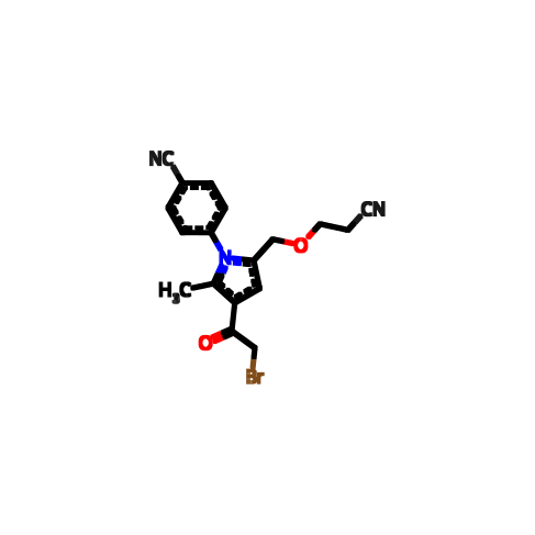 Cc1c(C(=O)CBr)cc(COCCC#N)n1-c1ccc(C#N)cc1